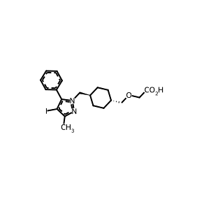 Cc1nn(C[C@H]2CC[C@H](COCC(=O)O)CC2)c(-c2ccccc2)c1I